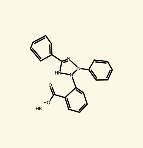 Br.O=C(O)c1ccccc1N1NC(c2ccccc2)=NN1c1ccccc1